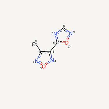 CCc1nonc1-c1ncno1